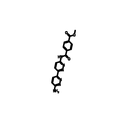 COC(=O)c1ccc(C(=O)Nc2ccc(-c3ccc(N)nn3)nn2)cc1